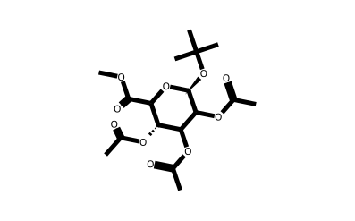 COC(=O)C1O[C@@H](OC(C)(C)C)C(OC(C)=O)C(OC(C)=O)[C@@H]1OC(C)=O